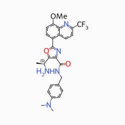 COc1ccc(-c2nc(C(=O)NCc3ccc(N(C)C)cc3)c([C@H](C)N)o2)c2ccc(C(F)(F)F)nc12